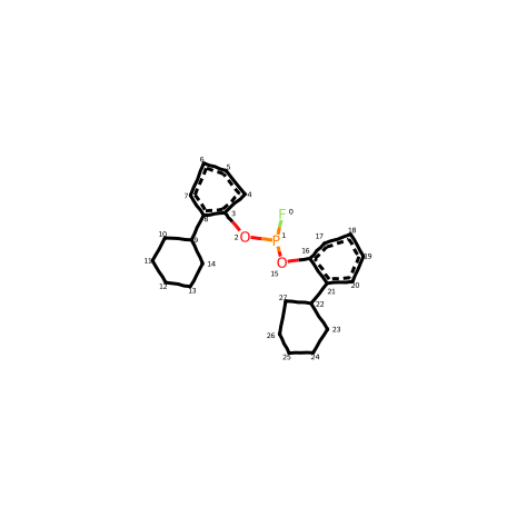 FP(Oc1ccccc1C1CCCCC1)Oc1ccccc1C1CCCCC1